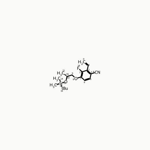 C=Cc1c(C#N)ccc(OC[C@H](C)O[Si](C)(C)C(C)(C)C)c1F